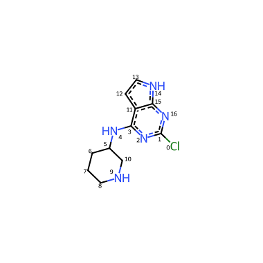 Clc1nc(NC2CCCNC2)c2cc[nH]c2n1